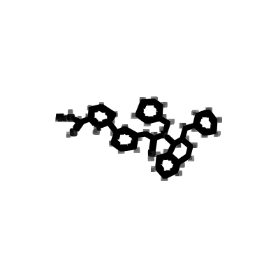 COC(=O)c1cccc(-c2cccc(CC(=O)N(Cc3ccccc3)C3c4ccccc4CCC3Cc3ccccc3)c2)n1